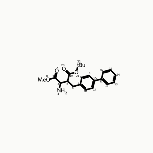 COC(=O)C(N)C(Cc1ccc(-c2ccccc2)cc1)C(=O)OC(C)(C)C